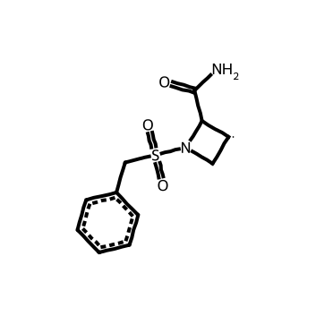 NC(=O)C1[CH]CN1S(=O)(=O)Cc1ccccc1